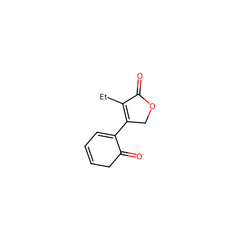 CCC1=C(C2=CC=CCC2=O)COC1=O